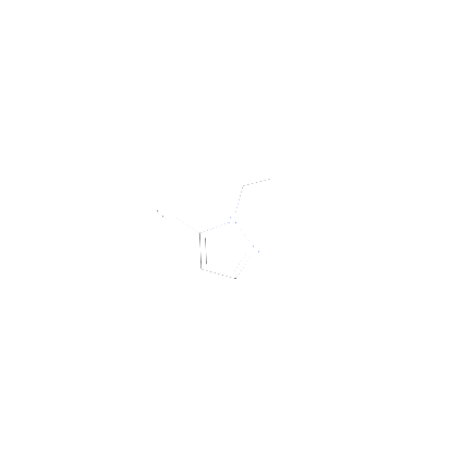 N#Cc1[c]cnn1CC(F)(F)F